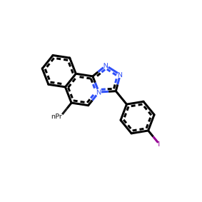 CCCc1cn2c(-c3ccc(I)cc3)nnc2c2ccccc12